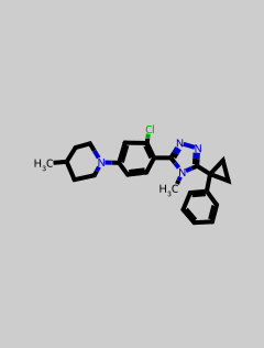 CC1CCN(c2ccc(-c3nnc(C4(c5ccccc5)CC4)n3C)c(Cl)c2)CC1